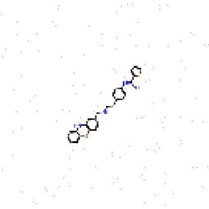 N/C(=N\c1ccc(CCNCc2ccc3c(c2)Nc2ccccc2S3)cc1)c1cccs1